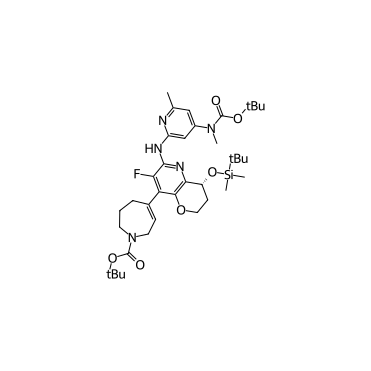 Cc1cc(N(C)C(=O)OC(C)(C)C)cc(Nc2nc3c(c(C4=CCN(C(=O)OC(C)(C)C)CCC4)c2F)OCC[C@H]3O[Si](C)(C)C(C)(C)C)n1